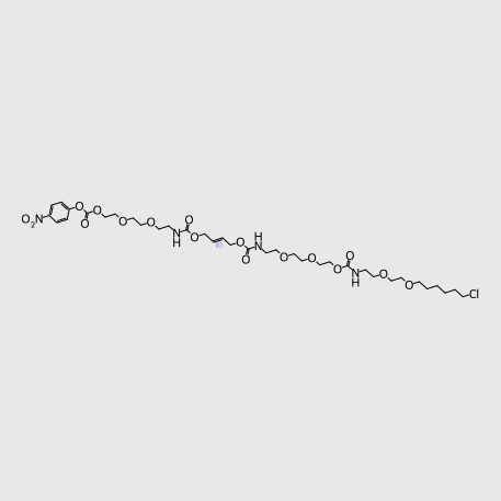 O=C(NCCOCCOCCOC(=O)NCCOCCOCCCCCCCl)OC/C=C/COC(=O)NCCOCCOCCOC(=O)Oc1ccc([N+](=O)[O-])cc1